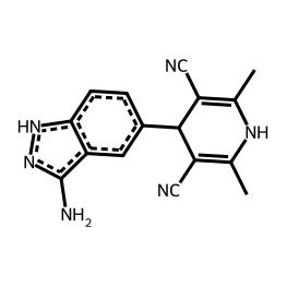 CC1=C(C#N)C(c2ccc3[nH]nc(N)c3c2)C(C#N)=C(C)N1